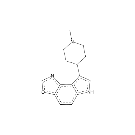 CN1CCC(c2c[nH]c3ccc4ocnc4c23)CC1